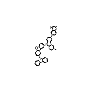 Cc1ccc2c(c1)c1cc(-c3ccc4scnc4c3)ccc1n2-c1ccc2oc3ccc(-n4c5ccccc5c5ccccc54)cc3c2c1